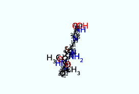 COc1cc(-c2csc3c(/C=C/CCN4CCC(CNC(=O)O)CC4)cnc(N)c23)ccc1NC(=O)c1cc2ccccc2n1C